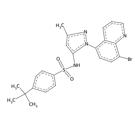 Cc1cc(NS(=O)(=O)c2ccc(C(C)(C)C)cc2)n(-c2ccc(Br)c3ncccc23)n1